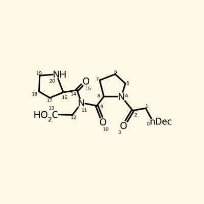 CCCCCCCCCCCC(=O)N1CCCC1C(=O)N(CC(=O)O)C(=O)C1CCCN1